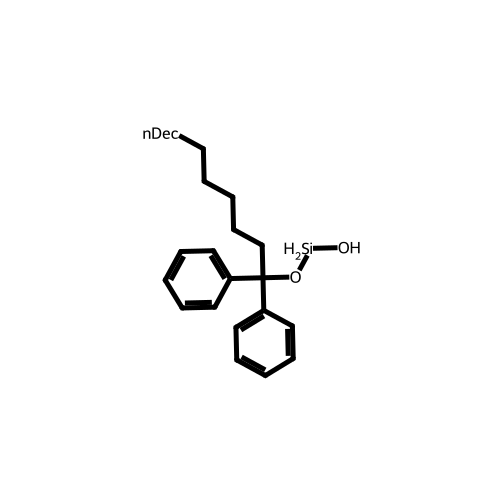 CCCCCCCCCCCCCCCC(O[SiH2]O)(c1ccccc1)c1ccccc1